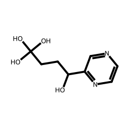 OC(CCC(O)(O)O)c1cnccn1